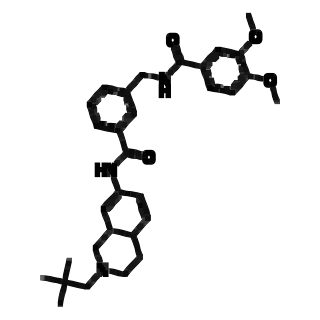 COc1ccc(C(=O)NCc2cccc(C(=O)NC3=CC4CN(CC(C)(C)C)CCC4C=C3)c2)cc1OC